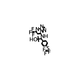 CC(C)(O)[C@@H](Nc1cc(C(F)(F)F)nc2ncnn12)c1ccc(SC(F)(F)F)cc1